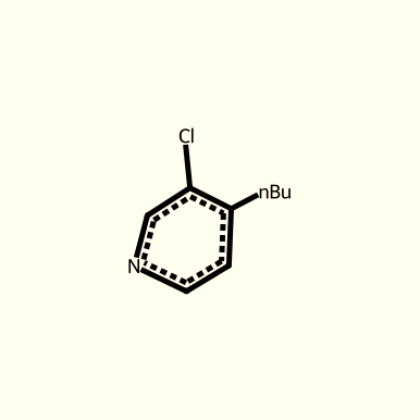 CCCCc1ccncc1Cl